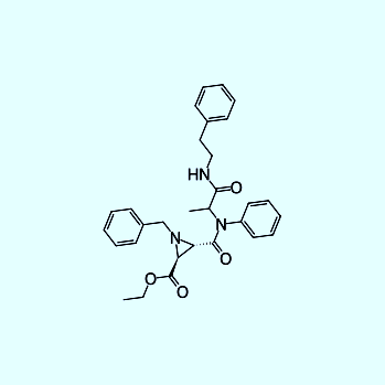 CCOC(=O)[C@@H]1[C@@H](C(=O)N(c2ccccc2)C(C)C(=O)NCCc2ccccc2)N1Cc1ccccc1